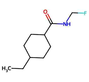 CCC1CCC(C(=O)NCF)CC1